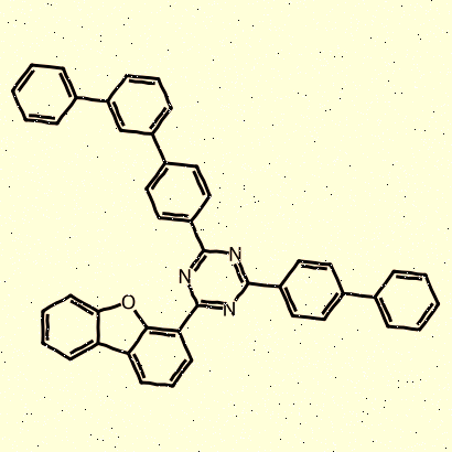 c1ccc(-c2ccc(-c3nc(-c4ccc(-c5cccc(-c6ccccc6)c5)cc4)nc(-c4cccc5c4oc4ccccc45)n3)cc2)cc1